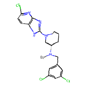 CCN(Cc1cc(Cl)cc(Cl)c1)[C@H]1CCCN(c2nc3nc(Cl)ccc3[nH]2)C1